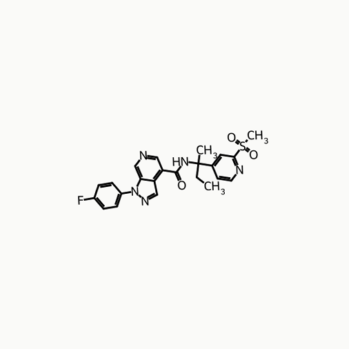 CCC(C)(NC(=O)c1cncc2c1cnn2-c1ccc(F)cc1)c1ccnc(S(C)(=O)=O)c1